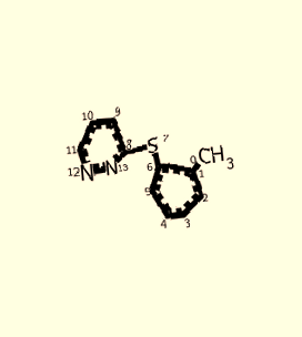 Cc1ccccc1Sc1cccnn1